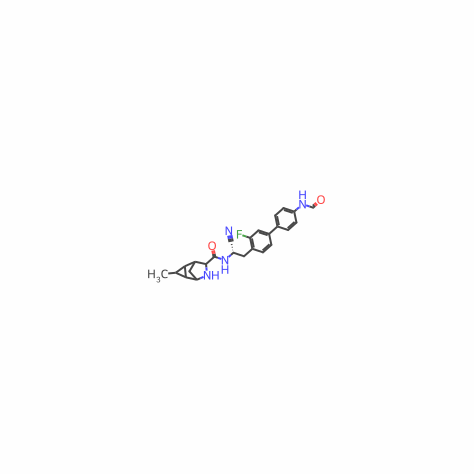 CC1C2C3CC(C(C(=O)N[C@H](C#N)Cc4ccc(-c5ccc(NC=O)cc5)cc4F)N3)C12